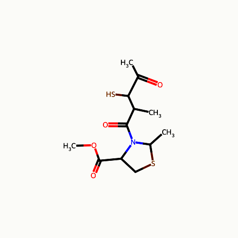 COC(=O)C1CSC(C)N1C(=O)C(C)C(S)C(C)=O